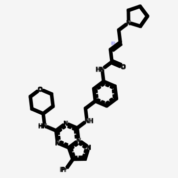 CC(C)c1cnn2c(NCc3cccc(NC(=O)/C=C/CN4CCCC4)c3)nc(NC3CCOCC3)nc12